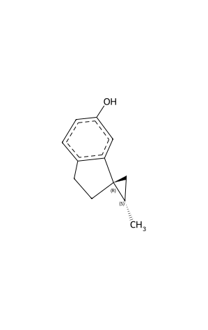 C[C@H]1C[C@]12CCc1ccc(O)cc12